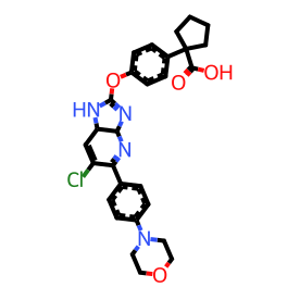 O=C(O)C1(c2ccc(OC3=NC4N=C(c5ccc(N6CCOCC6)cc5)C(Cl)=CC4N3)cc2)CCCC1